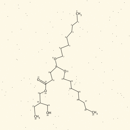 CCCCCCCCOC(CCC(=O)OCC(CC)CO)OCCCCCCCC